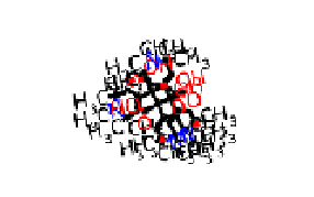 CN1C(C)(C)C=C(C(CC(=O)O)(C(=O)O)C(C(=O)O)(C2=CC(C)(C)N(C)C(C)(C)C2)C(C(=O)O)(C2=CC(C)(C)N(C)C(C)(C)C2)C2=CC(C)(C)N(C)C(C)(C)C2)CC1(C)C